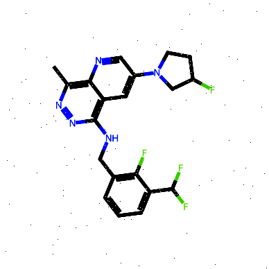 Cc1nnc(NCc2cccc(C(F)F)c2F)c2cc(N3CCC(F)C3)cnc12